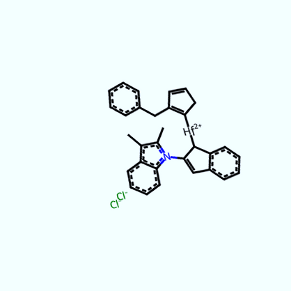 Cc1c(C)n(C2=Cc3ccccc3[CH]2[Hf+2][C]2=C(Cc3ccccc3)C=CC2)c2ccccc12.[Cl-].[Cl-]